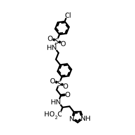 O=C(CS(=O)(=O)c1cccc(CCNS(=O)(=O)c2ccc(Cl)cc2)c1)NC(Cc1c[nH]cn1)C(=O)O